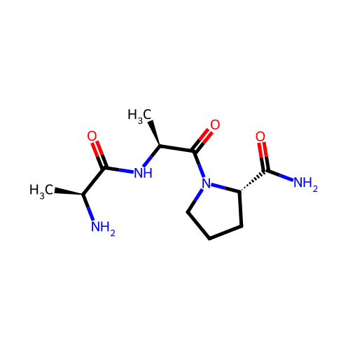 C[C@H](N)C(=O)N[C@@H](C)C(=O)N1CCC[C@H]1C(N)=O